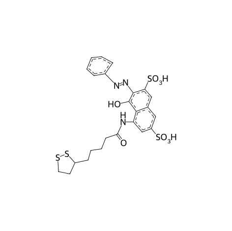 O=C(CCCCC1CCSS1)Nc1cc(S(=O)(=O)O)cc2cc(S(=O)(=O)O)c(/N=N/c3ccccc3)c(O)c12